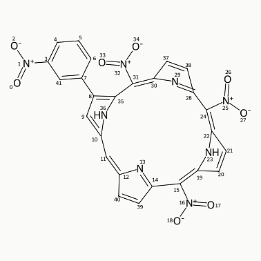 O=[N+]([O-])c1cccc(-c2cc3cc4nc(c([N+](=O)[O-])c5ccc([nH]5)c([N+](=O)[O-])c5nc(c([N+](=O)[O-])c2[nH]3)C=C5)C=C4)c1